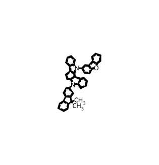 CC1(C)c2ccccc2-c2ccc(-n3c4ccccc4c4c3ccc3c5ccccc5n(-c5ccc6oc7ccccc7c6c5)c34)cc21